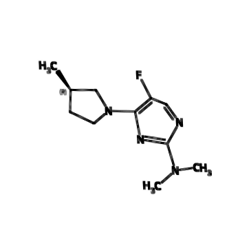 C[C@@H]1CCN(c2nc(N(C)C)ncc2F)C1